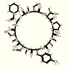 CC(C)C[C@H]1C(=O)N[C@@H]([C@@H](C)O)C(=O)N2CCC[C@H]2C(=O)N(C)[C@@H](C)C(=O)N[C@@H](Cc2ccc(C(F)(F)F)cc2)C(=O)N(C)[C@@H](CC(C)C)C(=O)N(C)[C@@H](CC(C)C)C(=O)N[C@H](C(=O)N2CCCCC2)CC(=O)N1C